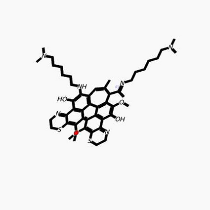 COc1c(O)c2c3c(c(OC)c4c5c(OC)c6c(c7c(O)c(NCCCCCCN(C)C)c8c(c(c1C(/C(C)=N/CCCCCCN(C)C)C(C)=C8)c24)c75)=NCCS6)SCCN=3